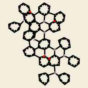 c1ccc(-c2cccc(-c3ccccc3)c2-c2c3c(cc4c2Sc2cc(N(c5ccccc5)c5ccccc5)cc5c2B4c2ccccc2N5c2c(-c4ccccc4)cccc2-c2ccccc2)B2c4ccccc4N(c4ccccc4)c4cc(N(c5ccccc5)c5ccccc5)cc(c42)O3)cc1